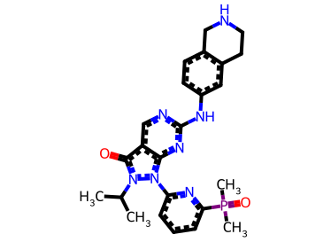 CC(C)n1c(=O)c2cnc(Nc3ccc4c(c3)CCNC4)nc2n1-c1cccc(P(C)(C)=O)n1